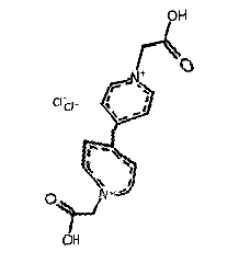 O=C(O)C[n+]1ccc(-c2cc[n+](CC(=O)O)cc2)cc1.[Cl-].[Cl-]